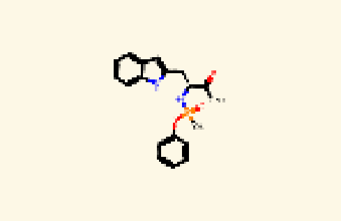 COC(=O)[C@H](Cc1cc2ccccc2[nH]1)NP(C)(=O)Oc1ccccc1